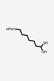 CCCCCCCCCCCC(O)S